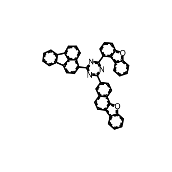 c1ccc2c(c1)-c1cccc3c(-c4nc(-c5ccc6c(ccc7c8ccccc8oc67)c5)nc(-c5cccc6oc7ccccc7c56)n4)ccc-2c13